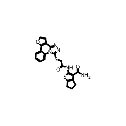 NC(=O)c1c(NC(=O)CSc2nnc3c4ccoc4c4ccccc4n23)sc2c1CCC2